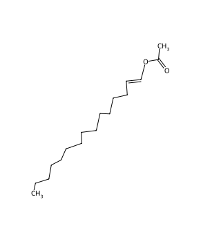 CCCCCCCCCCCCCC=COC(C)=O